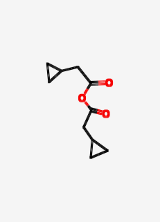 O=C(CC1CC1)OC(=O)CC1CC1